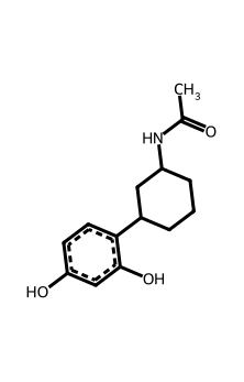 CC(=O)NC1CCCC(c2ccc(O)cc2O)C1